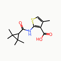 Cc1csc(NC(=O)C2C(C)(C)C2(C)C)c1C(=O)O